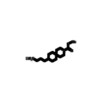 CCOC(=O)CCCC1CCC2(CC1)CCN(C(=O)OC(C)(C)C)CC2